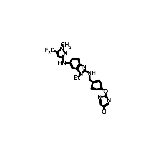 CCn1c(NCc2ccc(Oc3ncc(Cl)cn3)cc2)nc2ccc(Nc3cc(C(F)(F)F)n(C)n3)cc21